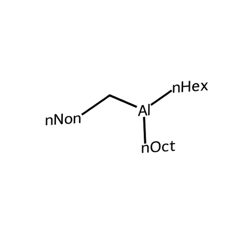 CCCCCCCCC[CH2][Al]([CH2]CCCCC)[CH2]CCCCCCC